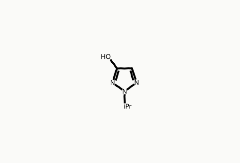 CC(C)n1ncc(O)n1